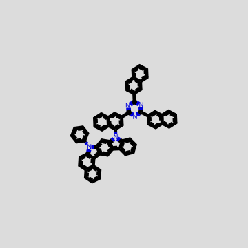 c1ccc(-n2c3cc4c(cc3c3c5ccccc5ccc32)c2ccccc2n4-c2cc(-c3nc(-c4ccc5ccccc5c4)nc(-c4ccc5ccccc5c4)n3)cc3ccccc23)cc1